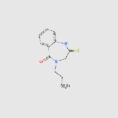 CCOC(=O)CCN1CC(=S)Nc2ccccc2C1=O